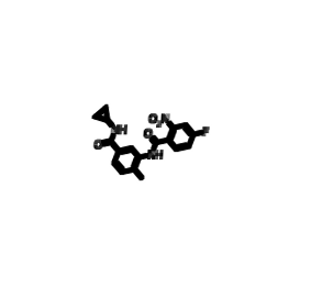 Cc1ccc(C(=O)NC2CC2)cc1NC(=O)c1ccc(F)cc1[N+](=O)[O-]